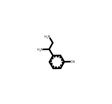 N#Cc1cccc(C(N)CN)c1